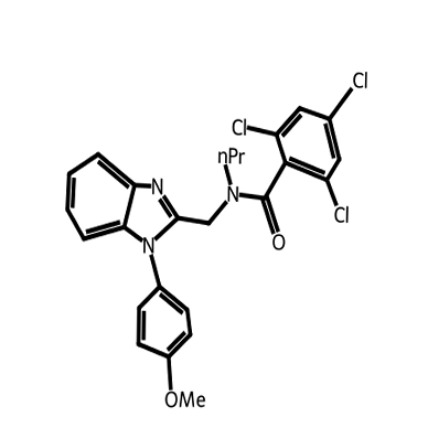 CCCN(Cc1nc2ccccc2n1-c1ccc(OC)cc1)C(=O)c1c(Cl)cc(Cl)cc1Cl